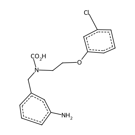 Nc1cccc(CN(CCOc2cccc(Cl)c2)C(=O)O)c1